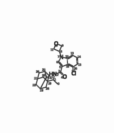 CC(NC(=O)c1cn(C2COC2)c2cccc(Cl)c12)C12CC3CC(CC(C3)C1)C2